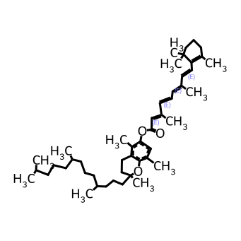 CC1=C(/C=C/C(C)=C/C=C/C(C)=C/C(=O)Oc2cc(C)c3c(c2C)CCC(C)(CCCC(C)CCCC(C)CCCC(C)C)O3)C(C)(C)CCC1